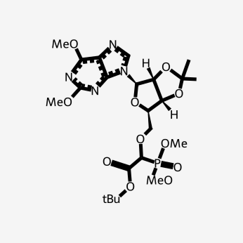 COc1nc(OC)c2ncn([C@@H]3O[C@H](COC(C(=O)OC(C)(C)C)P(=O)(OC)OC)[C@H]4OC(C)(C)O[C@H]43)c2n1